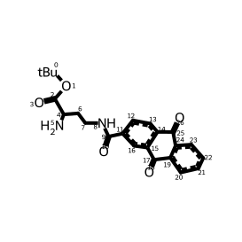 CC(C)(C)OC(=O)C(N)CCNC(=O)c1ccc2c(c1)C(=O)c1ccccc1C2=O